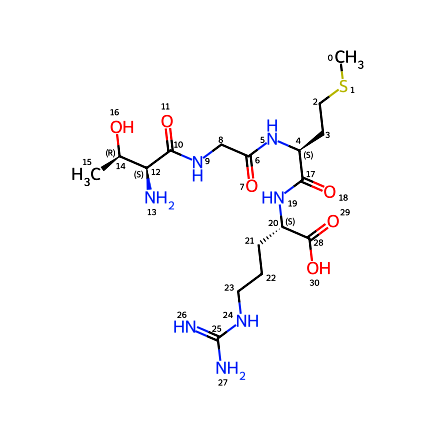 CSCC[C@H](NC(=O)CNC(=O)[C@@H](N)[C@@H](C)O)C(=O)N[C@@H](CCCNC(=N)N)C(=O)O